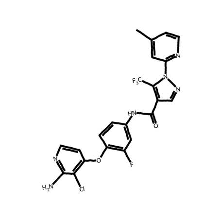 Cc1ccnc(-n2ncc(C(=O)Nc3ccc(Oc4ccnc(N)c4Cl)c(F)c3)c2C(F)(F)F)c1